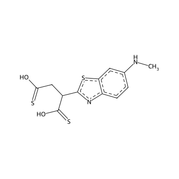 CNc1ccc2nc(C(CC(O)=S)C(O)=S)sc2c1